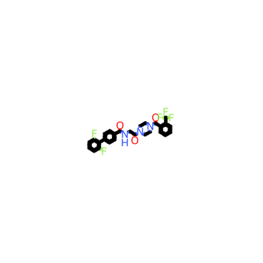 O=C(NCC(=O)N1CCN(C(=O)c2ccccc2C(F)(F)F)CC1)c1ccc(-c2c(F)cccc2F)cc1